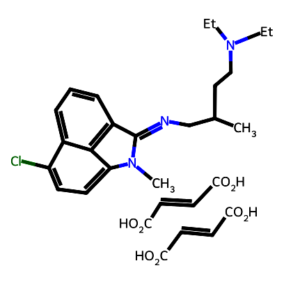 CCN(CC)CCC(C)C/N=C1/c2cccc3c(Cl)ccc(c23)N1C.O=C(O)/C=C/C(=O)O.O=C(O)/C=C/C(=O)O